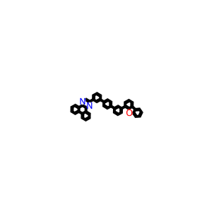 c1cc(-c2ccc(-c3cccc(-c4cccc5c4oc4ccccc45)c3)cc2)cc(-c2cnc3c4ccccc4c4ccccc4c3n2)c1